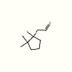 CC1(C)CCCC1(C)CC=O